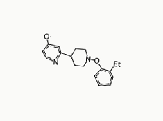 CCc1ccccc1ON1CCC(c2cc([O])ccn2)CC1